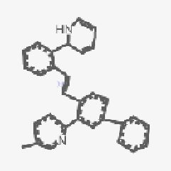 Cc1ccc(-c2cc(-c3ccccc3)ccc2/C=C/c2ccccc2C2C=CC=CN2)nc1